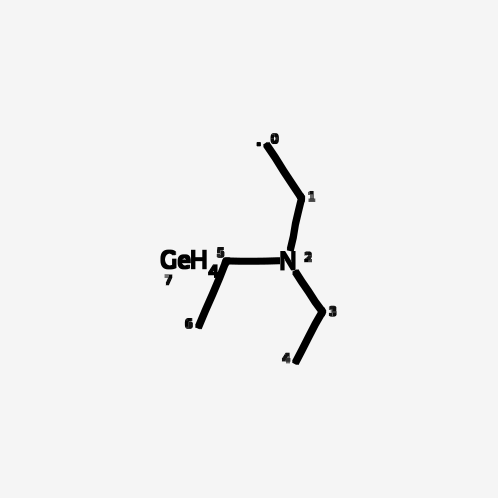 [CH2]CN(CC)CC.[GeH4]